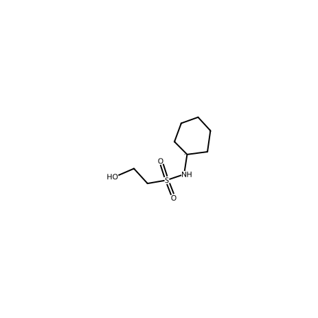 O=S(=O)(CCO)N[C]1CCCCC1